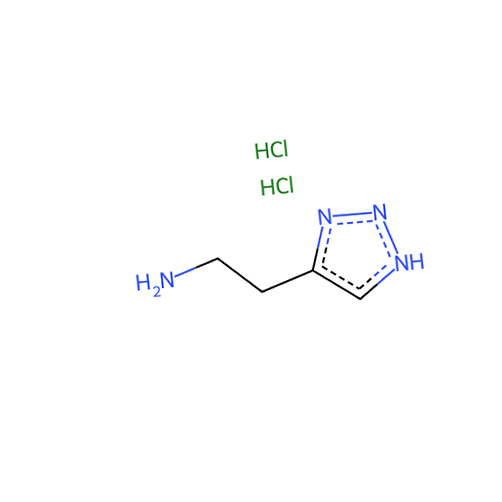 Cl.Cl.NCCc1c[nH]nn1